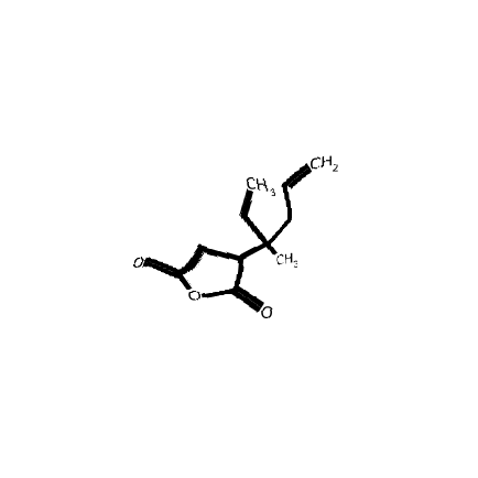 C=CCC(C)(CC)C1CC(=O)OC1=O